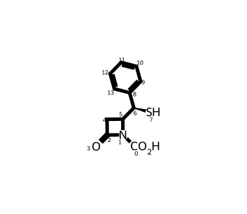 O=C(O)N1C(=O)CC1[C@H](S)c1ccccc1